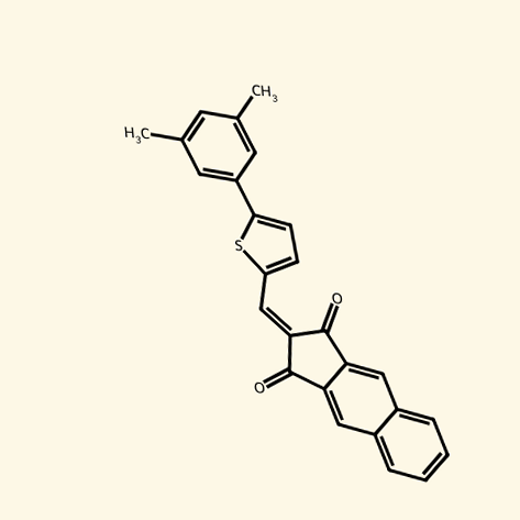 Cc1cc(C)cc(-c2ccc(C=C3C(=O)c4cc5ccccc5cc4C3=O)s2)c1